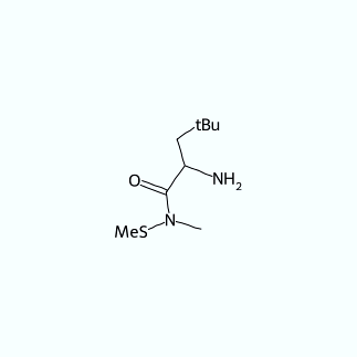 CSN(C)C(=O)C(N)CC(C)(C)C